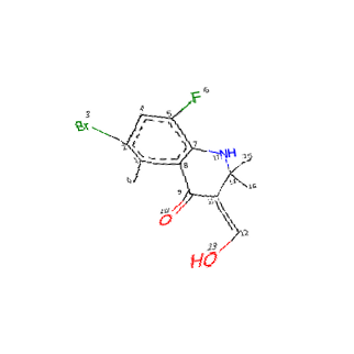 Cc1c(Br)cc(F)c2c1C(=O)/C(=C\O)C(C)(C)N2